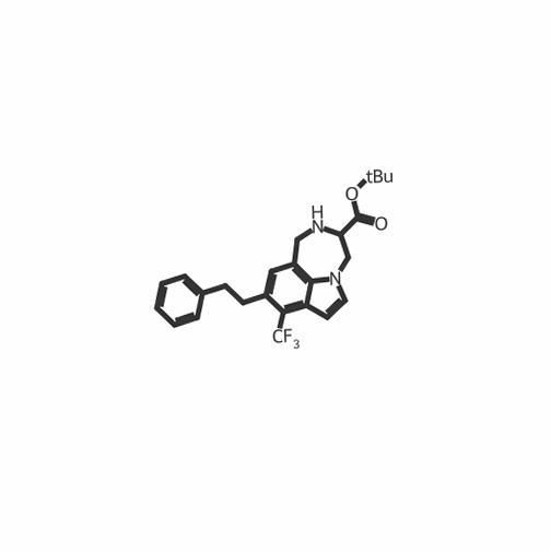 CC(C)(C)OC(=O)C1Cn2ccc3c(C(F)(F)F)c(CCc4ccccc4)cc(c32)CN1